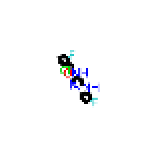 O=C(Cc1c(F)cccc1Cl)Nc1cnnc(Nc2cccc(F)c2)c1